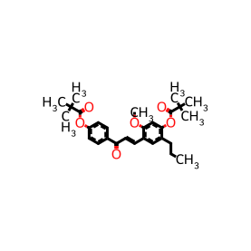 CCCc1cc(C=CC(=O)c2ccc(OC(=O)C(C)(C)C)cc2)c(OC)cc1OC(=O)C(C)(C)C